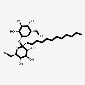 CCCCCCCCCCCC[C@@]1(O[C@H]2O[C@H](CO)[C@@H](O)[C@H](O)[C@H]2O)O[C@H](CO)[C@@H](O)[C@H](O)[C@H]1O